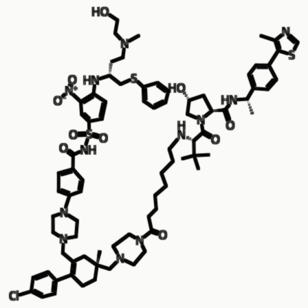 Cc1ncsc1-c1ccc([C@H](C)NC(=O)[C@@H]2C[C@@H](O)CN2C(=O)[C@@H](NCCCCCCCC(=O)N2CCN(C[C@]3(C)CCC(c4ccc(Cl)cc4)=C(CN4CCN(c5ccc(C(=O)NS(=O)(=O)c6ccc(N[C@H](CCN(C)CCO)CSc7ccccc7)c([N+](=O)[O-])c6)cc5)CC4)C3)CC2)C(C)(C)C)cc1